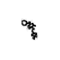 C=C(CC(=O)OC1CCCCCC1)C(=O)OCc1nn[nH]n1